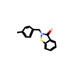 Cc1ccc(Cn2sc3ccccc3c2=O)cc1